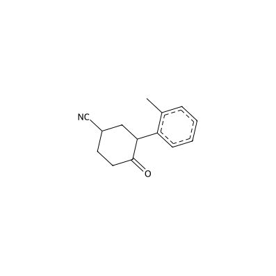 Cc1ccccc1C1CC(C#N)CCC1=O